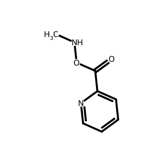 CNOC(=O)c1ccccn1